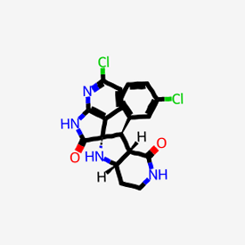 O=C1NCC[C@@H]2N[C@@]3(C(=O)Nc4nc(Cl)ccc43)[C@@H](c3cccc(Cl)c3)[C@H]12